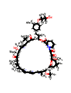 [2H]C([2H])([2H])O[C@H]1C[C@@H]2CC([2H])([2H])[C@@H](C)[C@@](O)(O2)C(=O)C(=O)N2CCCC[C@H]2C(=O)O[C@H]([C@H](C)C[C@@H]2CC[C@@H](OC([2H])([2H])C([2H])([2H])O)[C@H](OC)C2)CC(=O)[C@H](C([2H])([2H])[2H])/C=C(\C)[C@@H](O)[C@@H](OC)C(=O)[C@H](C)C([2H])(C)[C@]([2H])(C)/C=C/C=C/C=C/1C